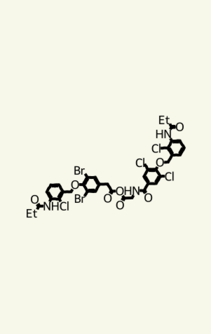 CCC(=O)Nc1cccc(COc2c(Cl)cc(C(=O)NCC(=O)OC(=O)Cc3cc(Br)c(OCc4cccc(NC(=O)CC)c4Cl)c(Br)c3)cc2Cl)c1Cl